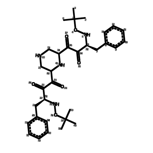 CC(C)(C)ON[C@@H](Cc1ccccc1)C(=O)C(=O)C1CNCC(C(=O)C(=O)[C@H](Cc2ccccc2)NOC(C)(C)C)N1